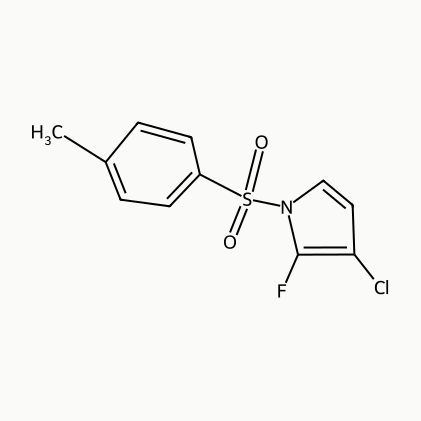 Cc1ccc(S(=O)(=O)n2ccc(Cl)c2F)cc1